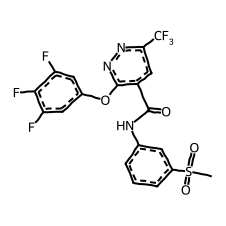 CS(=O)(=O)c1cccc(NC(=O)c2cc(C(F)(F)F)nnc2Oc2cc(F)c(F)c(F)c2)c1